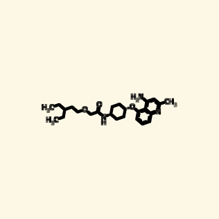 CCC(CC)CCOCC(=O)N[C@H]1CC[C@H](Oc2cccc3nc(C)cc(N)c23)CC1